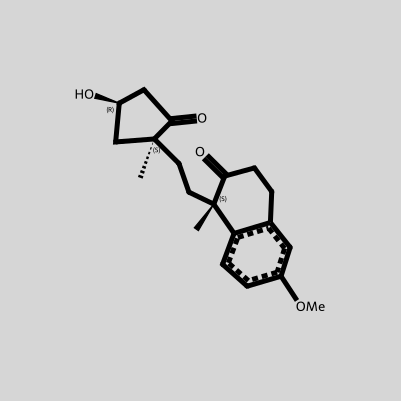 COc1ccc2c(c1)CCC(=O)[C@@]2(C)CC[C@@]1(C)C[C@@H](O)CC1=O